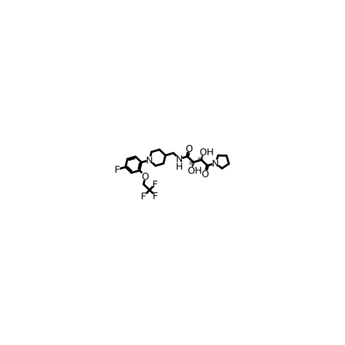 O=C(NCC1CCN(c2ccc(F)cc2OCC(F)(F)F)CC1)[C@H](O)[C@@H](O)C(=O)N1CCCC1